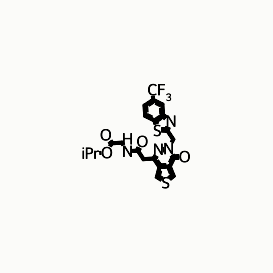 CC(C)OC(=O)CNC(=O)Cc1nn(Cc2nc3cc(C(F)(F)F)ccc3s2)c(=O)c2cscc12